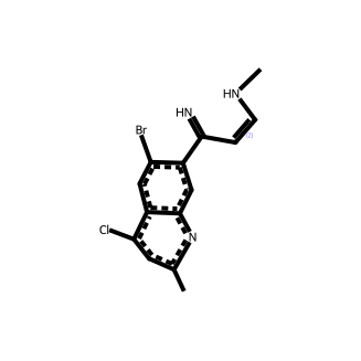 CN/C=C\C(=N)c1cc2nc(C)cc(Cl)c2cc1Br